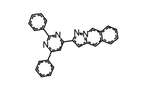 c1ccc(-c2cc(-c3cc4cc5ccccc5cn4n3)nc(-c3ccccc3)n2)cc1